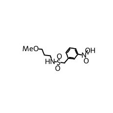 COCCCNS(=O)(=O)Cc1cccc([N+](=O)O)c1